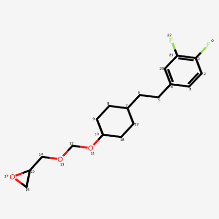 Fc1ccc(CCC2CCC(OCOCC3CO3)CC2)cc1F